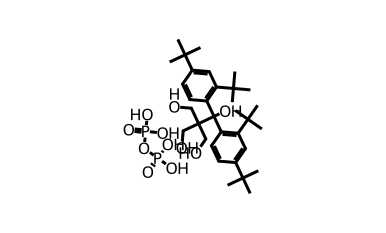 CC(C)(C)c1ccc(C(O)(c2ccc(C(C)(C)C)cc2C(C)(C)C)C(CO)(CO)CO)c(C(C)(C)C)c1.O=P(O)(O)OP(=O)(O)O